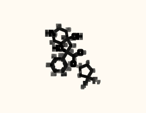 O=C(O[C@@H]1CCC(F)(F)C1)[C@@](O)(CC1(O)CCNCC1)c1ccccc1